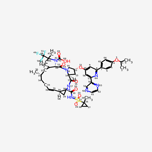 CC(C)Oc1ccc(-c2cc(O[C@@H]3C[C@H]4C(=O)N[C@]5(C(=O)NS(=O)(=O)C6(C)CC6)C[C@H]5C=CCC[C@H](C)C[C@@H](C)[C@H](N(C(=O)O)C(C)(C)C(F)(F)F)C(=O)N4C3)cc(-c3cnccn3)n2)cc1